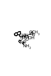 CS(=O)(=O)CC[C@H](NC(=O)CN(Cc1cccc2ccccc12)C[C@@H]1CCCN1C(=O)CN)C(=O)O